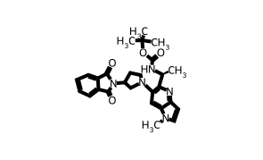 C[C@H](NC(=O)OC(C)(C)C)c1nc2ccn(C)c2cc1N1CCC(N2C(=O)c3ccccc3C2=O)C1